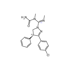 C/N=C(/N1C[C@H](c2ccccc2)C(c2ccc(Cl)cc2)=N1)N(C)C(N)=O